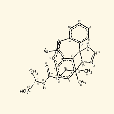 Cc1ccc2oc3c(Br)c2c1C1(NN=NN1C(C)COC(=O)N[C@@H](C)C(=O)O)c1ccccc1-3